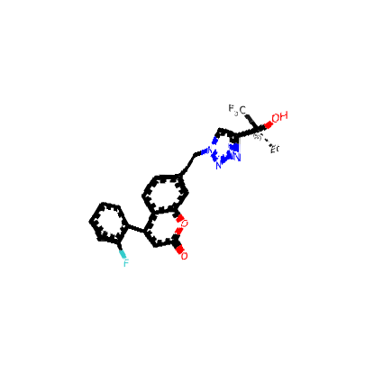 CC[C@](O)(c1cn(Cc2ccc3c(-c4ccccc4F)cc(=O)oc3c2)nn1)C(F)(F)F